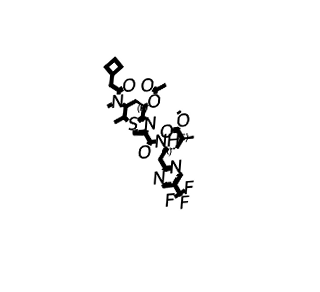 COC(=O)[C@@H](C)C[C@H](Cc1ncc(C(F)(F)F)cn1)NC(=O)c1csc([C@@H](CC(C(C)C)N(C)C(=O)CC2CCC2)OC(C)=O)n1